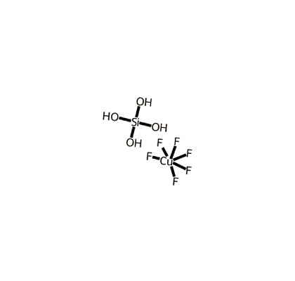 O[Si](O)(O)O.[F][Cu]([F])([F])([F])([F])[F]